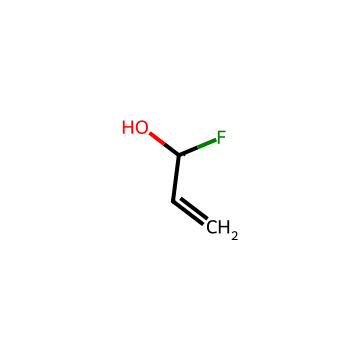 C=C[C](O)F